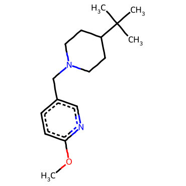 COc1ccc(CN2CCC(C(C)(C)C)CC2)cn1